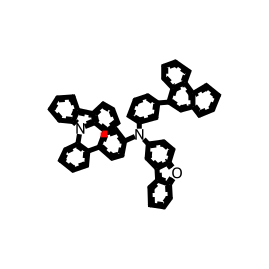 c1cc(-c2cc3ccccc3c3ccccc23)cc(N(c2ccc(-c3ccccc3-n3c4ccccc4c4ccccc43)cc2)c2ccc3oc4ccccc4c3c2)c1